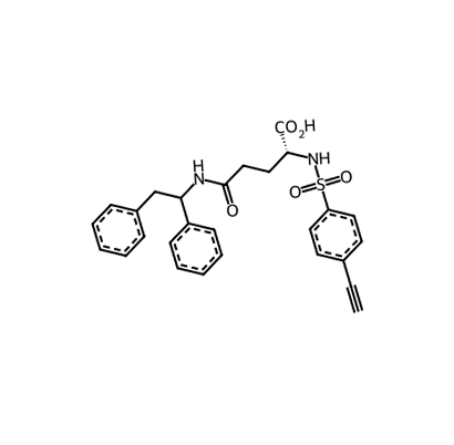 C#Cc1ccc(S(=O)(=O)N[C@H](CCC(=O)NC(Cc2ccccc2)c2ccccc2)C(=O)O)cc1